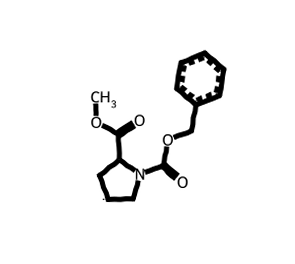 COC(=O)C1C[CH]CN1C(=O)OCc1ccccc1